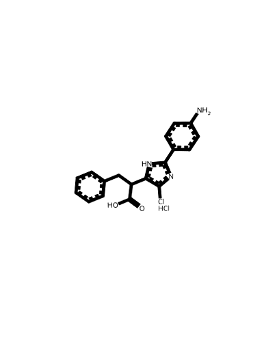 Cl.Nc1ccc(-c2nc(Cl)c(C(Cc3ccccc3)C(=O)O)[nH]2)cc1